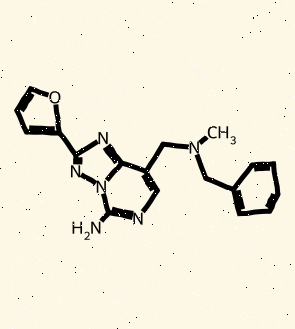 CN(Cc1ccccc1)Cc1cnc(N)n2nc(-c3ccco3)nc12